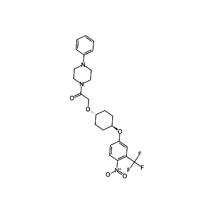 O=C(CO[C@H]1CC[C@H](Oc2ccc([N+](=O)[O-])c(C(F)(F)F)c2)CC1)N1CCN(c2ccccc2)CC1